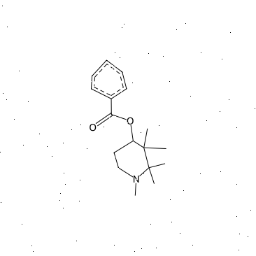 CN1CCC(OC(=O)c2ccccc2)C(C)(C)C1(C)C